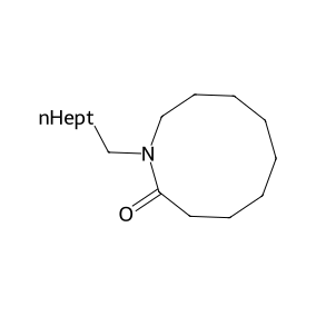 CCCCCCCCN1CCCCCCCCC1=O